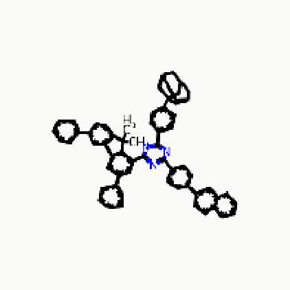 CC1(C)c2ccc(-c3ccccc3)cc2-c2cc(-c3ccccc3)cc(-c3nc(-c4ccc(-c5ccc6ccccc6c5)cc4)nc(-c4ccc(C56CC7CC(CC(C7)C5)C6)cc4)n3)c21